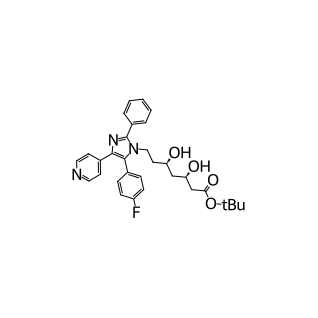 CC(C)(C)OC(=O)C[C@H](O)C[C@H](O)CCn1c(-c2ccccc2)nc(-c2ccncc2)c1-c1ccc(F)cc1